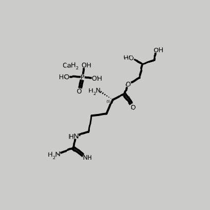 N=C(N)NCCC[C@H](N)C(=O)OCC(O)CO.O=P(O)(O)O.[CaH2]